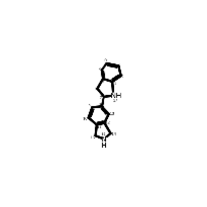 c1ccc2c(c1)CC(c1ccc3c(c1)CNC3)N2